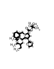 CCC(CC)C[C@H](NC(C)=O)[C@H]1[C@H](C2=NCCO2)C[C@H](C(=O)OC(C)(C)C)N1Cc1ccccc1